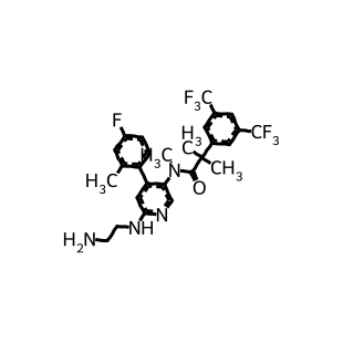 Cc1cc(F)ccc1-c1cc(NCCN)ncc1N(C)C(=O)C(C)(C)c1cc(C(F)(F)F)cc(C(F)(F)F)c1